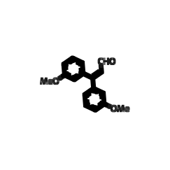 COc1cccc(C(=CC=O)c2cccc(OC)c2)c1